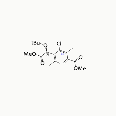 C=C(C(=O)OC)/C(C)=C(/Cl)C(=C(C)C)[C@H](OC(C)(C)C)C(=O)OC